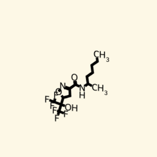 CCCCCC(C)NC(=O)C1=NOC(C(O)(C(F)(F)F)C(F)(F)F)C1